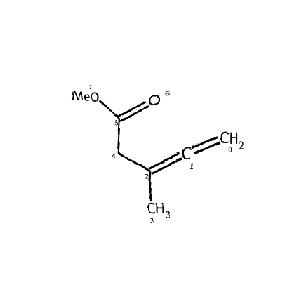 C=C=C(C)CC(=O)OC